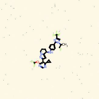 CC(CF)n1cc(C(F)(F)F)nc1-c1ccc(NC2CCCn3nc(-c4c(OC(F)F)ncnc4C4CC4)cc32)cc1